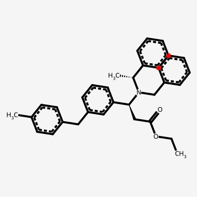 CCOC(=O)C[C@@H](c1cccc(Cc2ccc(C)cc2)c1)N(Cc1ccccc1)[C@H](C)c1ccccc1